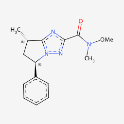 CON(C)C(=O)c1nc2n(n1)[C@@H](c1ccccc1)C[C@@H]2C